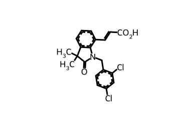 CC1(C)C(=O)N(Cc2ccc(Cl)cc2Cl)c2c(C=CC(=O)O)cccc21